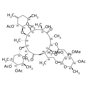 C=C1C[C@@H](C)O[C@@H](O[C@@H]2[C@@H](C)[C@H](O[C@H]3C[C@@](C)(OC(C)=O)[C@@H](OC(C)=O)[C@H](C)O3)[C@@H](C)C(=O)C[C@H]([C@@H](C)CO[C@@H]3O[C@H](C)[C@@H](OC(C)=O)[C@@H](OC)[C@H]3OC)[C@H](C)[C@@H](OC(=O)CC(C)C)[C@@H](C)C(=O)[C@@](C)(O)C[C@@H]2C)[C@@H]1OC(C)=O